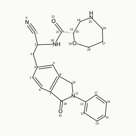 N#CC(Cc1ccc2c(c1)CN(c1ccccc1)C2=O)NC(=O)[C@@H]1CNCCCO1